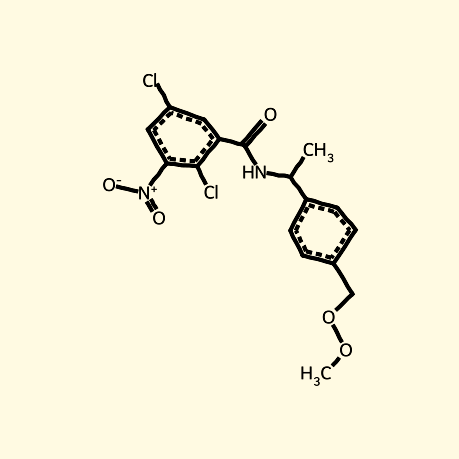 COOCc1ccc(C(C)NC(=O)c2cc(Cl)cc([N+](=O)[O-])c2Cl)cc1